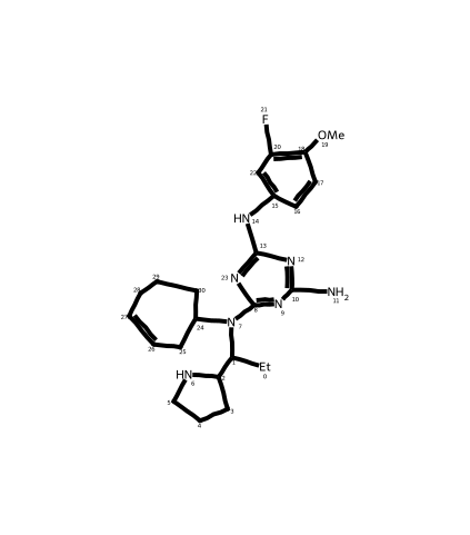 CCC(C1CCCN1)N(c1nc(N)nc(Nc2ccc(OC)c(F)c2)n1)C1CC=CCCC1